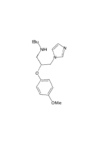 COc1ccc(OC(CNC(C)(C)C)Cn2ccnc2)cc1